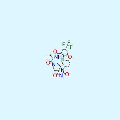 COC1CCC(N2C(=O)N(C)C(=O)C23CCN(C(=O)C(NC(=O)c2cc(C(F)(F)F)ccc2F)C(C)C)CC3)CC1